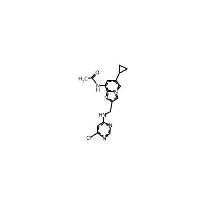 CC(=O)Nc1cc(C2CC2)cn2cc(CNc3cc(Cl)ncn3)nc12